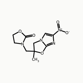 CC1(CN2CCOC2=O)Cn2cc([N+](=O)[O-])nc2O1